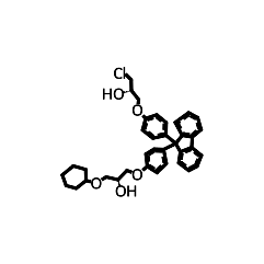 O[C@H](CCl)COc1ccc(C2(c3ccc(OC[C@H](O)COC4CCCCC4)cc3)c3ccccc3-c3ccccc32)cc1